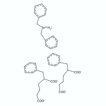 O=C([O-])CCCC(Cc1ccccc1)C(=O)[O-].O=C([O-])CCCC(Cc1ccccc1)C(=O)[O-].c1ccc([CH2][SnH2+4][CH2]c2ccccc2)cc1